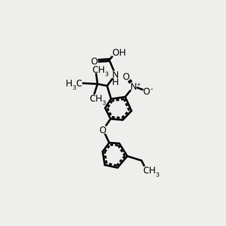 CCc1cccc(Oc2ccc([N+](=O)[O-])c(C(NC(=O)O)C(C)(C)C)c2)c1